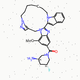 COc1cc(C(=O)N2C[C@H](N)C[C@@H](F)C2)cc2nc3n(c12)Cc1cnn(c1)CCCCCCCn1c-3cc2ccccc21